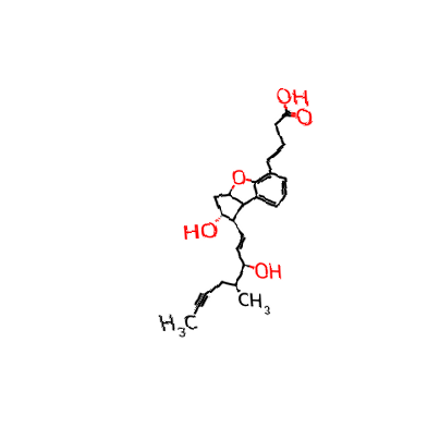 CC#CC[C@H](C)[C@H](O)/C=C/[C@@H]1C2c3cccc(CCCC(=O)O)c3OC2C[C@H]1O